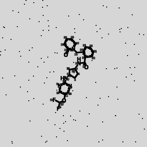 O=C(N[C@H]1CC[C@H](Nc2ncc(OC(F)F)cn2)C1)c1ccccc1Cn1ccccc1=O